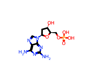 Nc1nc(N)c2ncn([C@H]3C[C@H](O)[C@@H](COP(=O)(O)O)O3)c2n1